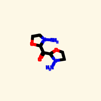 NN1CCOC1C(=O)C1OCCN1N